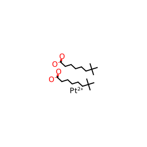 CC(C)(C)CCCCCC(=O)[O-].CC(C)(C)CCCCCC(=O)[O-].[Pt+2]